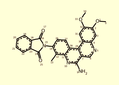 COc1cc2ncc3c(N)nc4c(C)c(N5C(=O)c6ccccc6C5=O)ccc4c3c2cc1OC